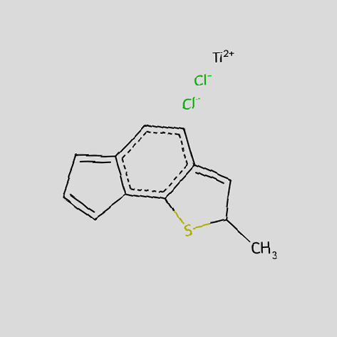 CC1C=c2ccc3c(c2S1)C=CC=3.[Cl-].[Cl-].[Ti+2]